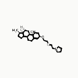 C[C@H]1CCC2C3CCC4=C[C@@H](OCCOCCN5CCCC5)CC[C@]4(C)C3CC[C@@]21C